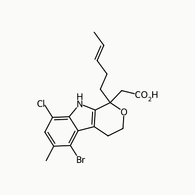 CC=CCCC1(CC(=O)O)OCCc2c1[nH]c1c(Cl)cc(C)c(Br)c21